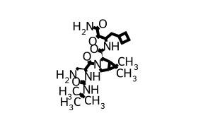 CC(C)(C)NC(=O)N[C@@H](CN)C(=O)N1CC2C([C@H]1C(=O)NC(CC1CCC1)C(=O)C(N)=O)C2(C)C